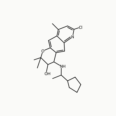 Cc1cc(Cl)nc2cc3c(cc12)OC(C)(C)C(O)C3NC(C)C1CCCC1